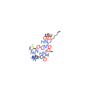 C=CCCCCC[C@H](NC(=O)OC(C)(C)C)C(=O)N1C[C@H](Oc2nc(-c3ccnn3C)nc3ccsc23)C[C@H]1C(=O)N[C@]1(C(=O)OC)C[C@H]1C=C